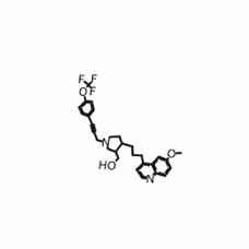 COc1ccc2nccc(CCCC3CCN(CC#Cc4ccc(OC(F)(F)F)cc4)CC3CO)c2c1